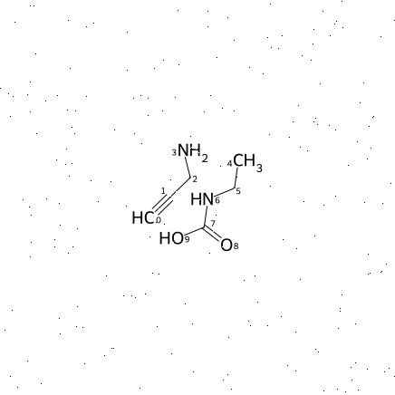 C#CCN.CCNC(=O)O